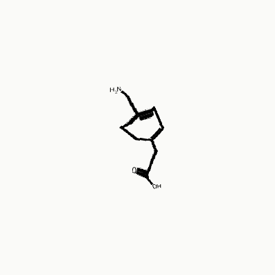 NC1=CC=C(CC(=O)O)CC1